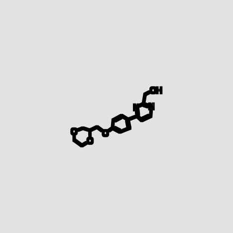 OCc1nccc(-c2ccc(OCC3COCCO3)cc2)n1